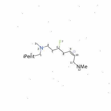 CCCC(C)CN(C)CCC(F)C/C=C\CNC